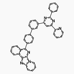 c1ccc(-c2nc(-c3cccc(-c4ccc(-c5nc6c(nc7ccccn76)c6ccccc56)cc4)c3)cc(-c3ccccn3)n2)cc1